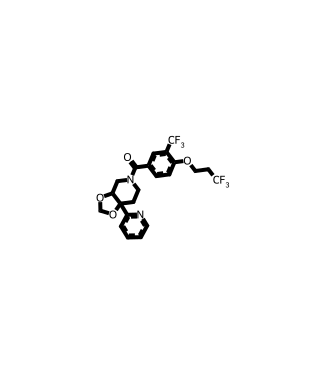 O=C(c1ccc(OCCC(F)(F)F)c(C(F)(F)F)c1)N1CCC2(c3ccccn3)OCOC2C1